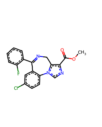 COC(=O)c1ncn2c1CN=C(c1ccccc1F)c1cc(Cl)ccc1-2